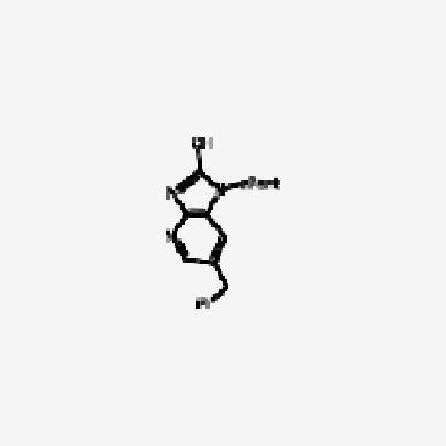 CCCCCn1c(O)nc2ncc(CC(C)C)cc21